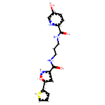 O=C(NCCCNC(=O)c1cc(-c2cccs2)on1)c1ccc(O)cn1